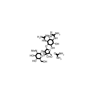 CN[C@@H]1[C@H](O[C@H]2[C@H](O[C@H]3[C@H](O)[C@@H](O)[C@H](NC(=N)N)[C@@H](O)[C@@H]3NC(=N)N)O[C@@H](C)[C@]2(O)C=O)O[C@@H](CO)[C@H](O)[C@H]1O.NC(N)=O